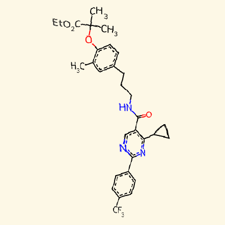 CCOC(=O)C(C)(C)Oc1ccc(CCCNC(=O)c2cnc(-c3ccc(C(F)(F)F)cc3)nc2C2CC2)cc1C